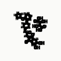 O=C(CN1CCN(c2ccccc2OC2CCCC2)CC1)CN1C(=O)C2CC(O)C(O)CC2C1=O.O=C(O)C(O)C(O)C(=O)O